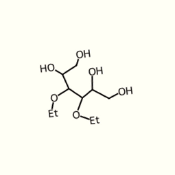 CCOC(C(O)CO)C(OCC)C(O)CO